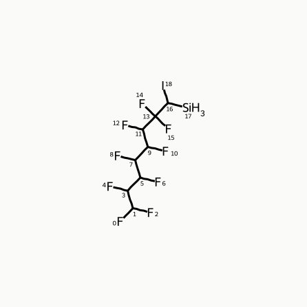 FC(F)C(F)C(F)C(F)C(F)C(F)C(F)(F)C([SiH3])I